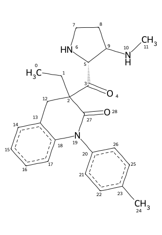 CCC1(C(=O)[C@@H]2NCCC2NC)Cc2ccccc2N(c2ccc(C)cc2)C1=O